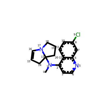 CN(c1ccnc2cc(Cl)ccc12)C12CC=CN1CCC2